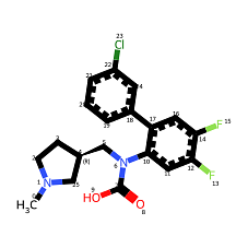 CN1CC[C@@H](CN(C(=O)O)c2cc(F)c(F)cc2-c2cccc(Cl)c2)C1